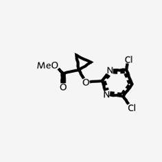 COC(=O)C1(Oc2nc(Cl)cc(Cl)n2)CC1